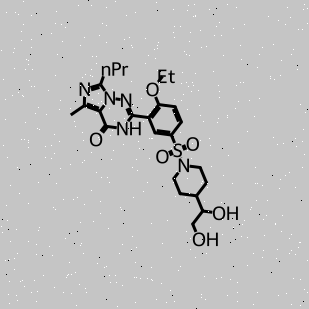 CCCc1nc(C)c2c(=O)[nH]c(-c3cc(S(=O)(=O)N4CCC(C(O)CO)CC4)ccc3OCC)nn12